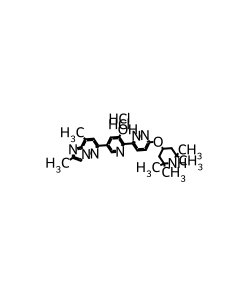 Cc1cn2nc(-c3cnc(-c4ccc(OC5CC(C)(C)NC(C)(C)C5)nn4)c(O)c3)cc(C)c2n1.Cl.Cl